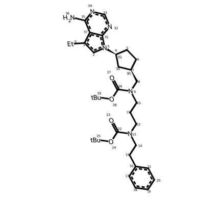 CCc1cn([C@H]2CC[C@@H](CN(CCCN(CCc3ccccc3)C(=O)OC(C)(C)C)C(=O)OC(C)(C)C)C2)c2ncnc(N)c12